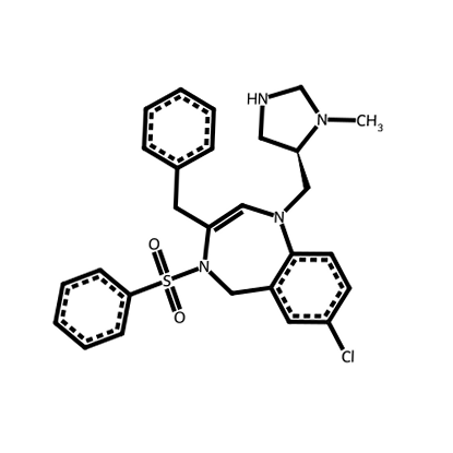 CN1CNC[C@@H]1CN1C=C(Cc2ccccc2)N(S(=O)(=O)c2ccccc2)Cc2cc(Cl)ccc21